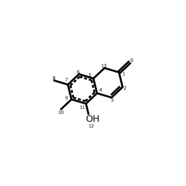 C=C1C=Cc2c(cc(C)c(C)c2O)C1